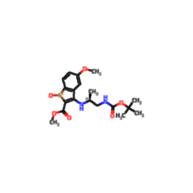 COC(=O)c1c(N[C@@H](C)CNC(=O)OC(C)(C)C)c2cc(OC)ccc2[s+]1[O-]